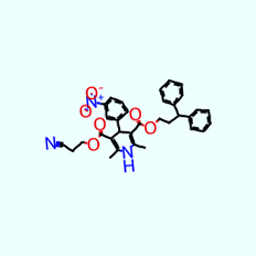 CC1=C(C(=O)OCCC#N)C(c2cccc([N+](=O)[O-])c2)C(C(=O)OCCC(c2ccccc2)c2ccccc2)=C(C)N1